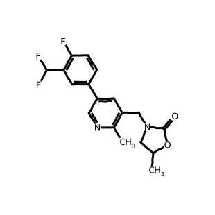 Cc1ncc(-c2ccc(F)c(C(F)F)c2)cc1CN1CC(C)OC1=O